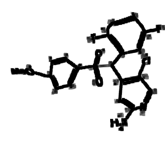 COc1ccc(S(=O)(=O)C(c2cc(F)ccc2F)c2cc(N)ncc2Cl)cc1